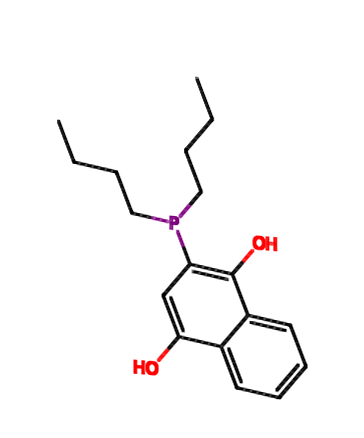 CCCCP(CCCC)c1cc(O)c2ccccc2c1O